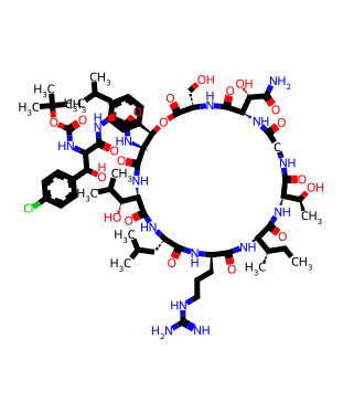 CC[C@H](C)[C@@H]1NC(=O)[C@@H](CCCNC(=N)N)NC(=O)[C@H](CC(C)C)NC(=O)[C@H]([C@H](O)C(C)C)NC(=O)[C@@H](NC(=O)[C@H](CC(C)C)NC(=O)C(NC(=O)OC(C)(C)C)C(O)c2ccc(Cl)cc2)[C@@H](c2ccccc2)OC(=O)[C@H](CO)NC(=O)[C@H]([C@H](O)C(N)=O)NC(=O)CNC(=O)[C@H]([C@H](C)O)NC1=O